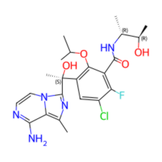 Cc1nc([C@@](C)(O)c2cc(Cl)c(F)c(C(=O)N[C@H](C)[C@@H](C)O)c2OC(C)C)n2ccnc(N)c12